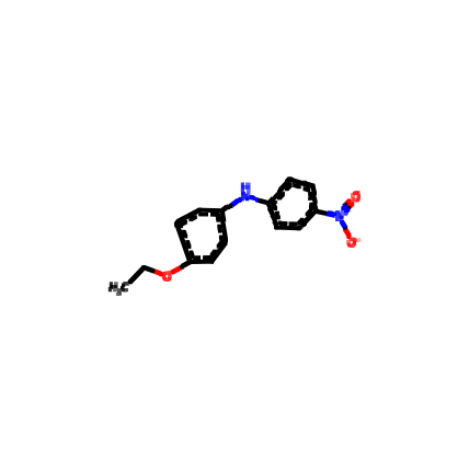 CCOc1ccc(Nc2ccc([N+](=O)[O-])cc2)cc1